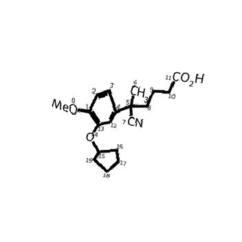 COc1ccc(C(C)(C#N)CCCC(=O)O)cc1OC1CCCC1